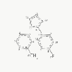 Cc1ccccc1.Fc1ccc(-c2cccs2)cc1